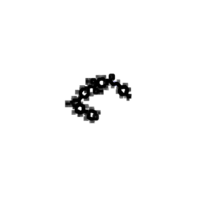 O=C(/C=C/c1ccc(F)cc1)N1CCC(O)(C(O)CN2CCC(c3c[nH]c4ccc(N5CCOCC5)cc34)CC2)CC1